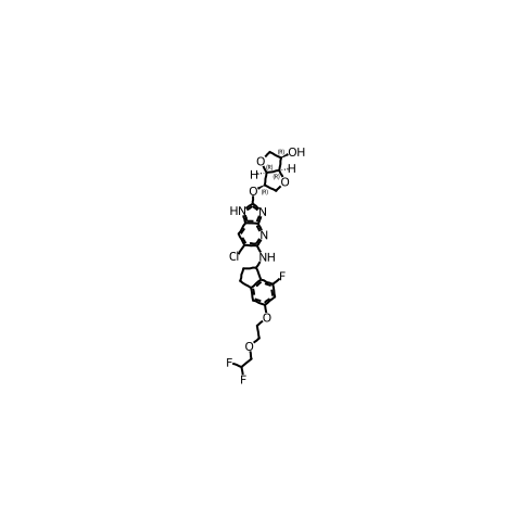 O[C@@H]1CO[C@H]2[C@@H]1OC[C@H]2Oc1nc2nc(NC3CCc4cc(OCCOCC(F)F)cc(F)c43)c(Cl)cc2[nH]1